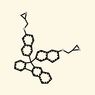 c1ccc2c(c1)-c1cc3ccccc3cc1C2(c1ccc2cc(OCC3CS3)ccc2c1)c1ccc2cc(OCC3CS3)ccc2c1